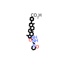 CC1CCC2(NC(=O)NCCN3CCCCC3=O)CC[C@]3(C)C(CCC4C3(C)CCC3C(C)C(c5ccc(C(=O)O)cc5)=CC[C@@]34C)C12